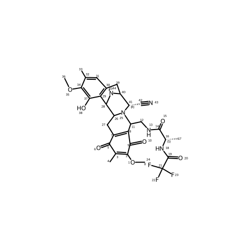 COC1=C(C)C(=O)C2=C(C1=O)C(CNC(=O)[C@H](C)NC(=O)C(F)(F)F)N1C(C2)C2c3c(cc(C)c(OC)c3O)CC([C@@H]1C#N)N2C